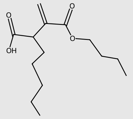 C=C(C(=O)OCCCC)C(CCCCC)C(=O)O